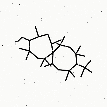 CC1CC(C)C2(C(C)CC(C)(C)C(C(C)(C)C)C(C)(C)CC2(C)C)C(C)(C)CC(C)(C)C1CF